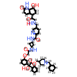 O=C(COc1cccc([C@](O)(C(=O)OCC2CCN(Cc3ccccc3)CC2)c2ccccc2)c1)N[C@H]1C[C@H](NC(=O)c2ccc(CNC[C@H](O)c3ccc(O)c4[nH]c(=O)ccc34)cn2)C1